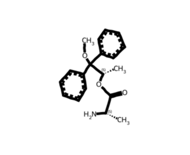 COC(c1ccccc1)(c1ccccc1)[C@H](C)OC(=O)[C@H](C)N